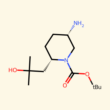 CC(C)(O)C[C@@H]1CC[C@H](N)CN1C(=O)OC(C)(C)C